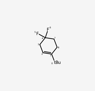 CC(C)(C)C1=CCC(F)(F)CC1